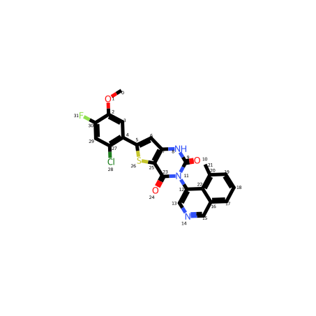 COc1cc(-c2cc3[nH]c(=O)n(-c4cncc5cccc(C)c45)c(=O)c3s2)c(Cl)cc1F